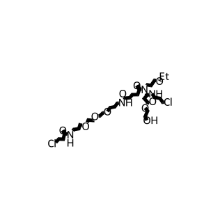 CCOCCCN(C(=O)CCCC(=O)NCCCOCCOCCOCCCNC(=O)CCCl)C(CCOCCO)NC(=O)CCCl